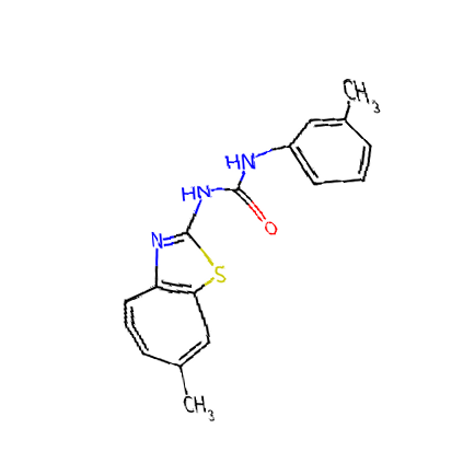 Cc1cccc(NC(=O)Nc2nc3ccc(C)cc3s2)c1